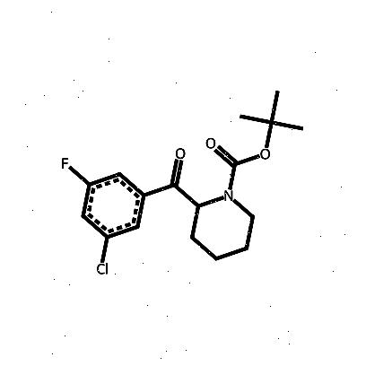 CC(C)(C)OC(=O)N1CCCCC1C(=O)c1cc(F)cc(Cl)c1